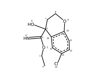 CCOC(=N)C1(O)CCOc2ccc(Cl)cc21